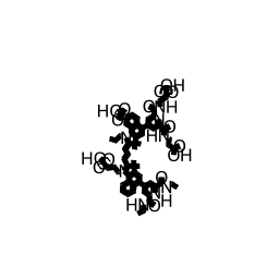 CCCN1/C(=C/C=C/C2=[N+](CCCS(=O)(=O)O)c3c(cc(-c4cc(C(=O)NCC)nc(C(=O)NCC)c4)c4ccccc34)C2(C)C)C(C)(C)c2cc(-c3cc(C(=O)NCCC(=O)O)nc(C(=O)NCCS(=O)(=O)O)c3)c3ccc(S(=O)(=O)O)cc3c21